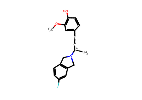 C[C@H](CCc1ccc(O)c(OC(F)(F)F)c1)N1Cc2ccc(F)cc2C1